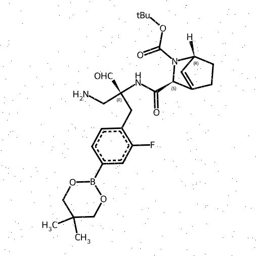 CC1(C)COB(c2ccc(C[C@](C=O)(CN)NC(=O)[C@@H]3C4=C[C@@H](CC4)N3C(=O)OC(C)(C)C)c(F)c2)OC1